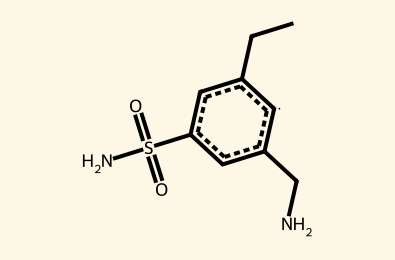 CCc1[c]c(CN)cc(S(N)(=O)=O)c1